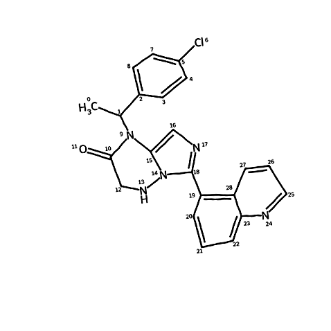 CC(c1ccc(Cl)cc1)N1C(=O)CNn2c1cnc2-c1cccc2ncccc12